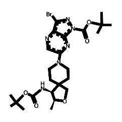 C[C@@H]1OCC2(CCN(c3cnc4c(Br)nn(C(=O)OC(C)(C)C)c4n3)CC2)[C@@H]1NC(=O)OC(C)(C)C